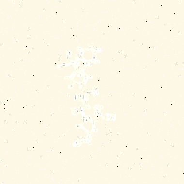 O=[S+][C@@H]1C[C@@H](C(=O)O)N(C(=O)CNC(=O)c2ccc3c(c2)-c2ccccc2C3(F)F)C1